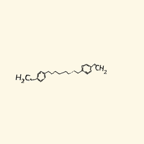 C=Cc1ccc(CCCCCCCCc2ccc(C=C)cc2)cc1